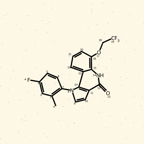 Cc1cc(F)ccc1-n1ccc2c(=O)[nH]c3c(OCC(F)(F)F)cccc3c21